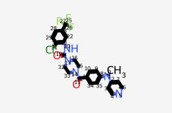 CN(c1ccncc1)c1ccc(C(=O)N2CCN(C(=O)Nc3cc(C(F)(F)F)ccc3Cl)CC2)cc1